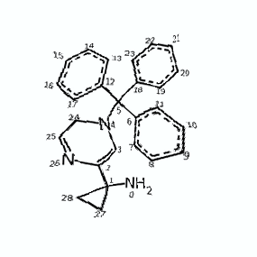 NC1(C2=CN(C(c3ccccc3)(c3ccccc3)c3ccccc3)CC=N2)CC1